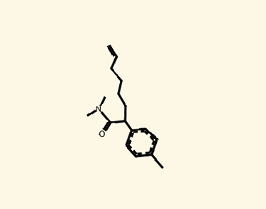 C=CCCCCC(C(=O)N(C)C)c1ccc(C)cc1